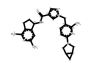 Cc1cc2c(c(N)n1)CCC2NC(=O)c1cnn(Cc2ccc(N3CC4CC4C3)nc2C)c1